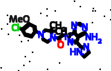 COc1cc(N2CCN(C(=O)Cn3nc(C4=NCCN4)c4c(N)ncnc43)C(C)(C)C2)ccc1Cl